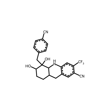 N#Cc1ccc(CC2(O)C(O)CCC3Cc4cc(C#N)c(C(F)(F)F)cc4NC32)cc1